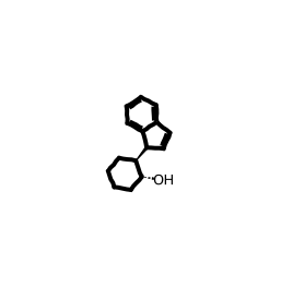 O[C@@H]1CCCC[C@H]1C1C=Cc2ccccc21